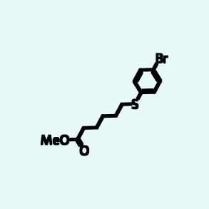 COC(=O)CCCCCSc1ccc(Br)cc1